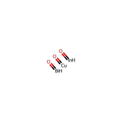 [O]=[BiH].[O]=[Cu].[O]=[InH]